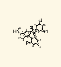 CNC1CCc2c1cn(S(=O)(=O)c1cc(Cl)cc(Cl)c1)c2-c1ccc(C)cc1F